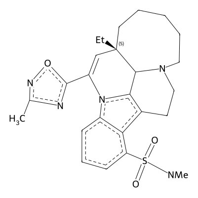 CC[C@@]12C=C(c3nc(C)no3)n3c4c(c5c(S(=O)(=O)NC)cccc53)CCN(CCCCC1)C42